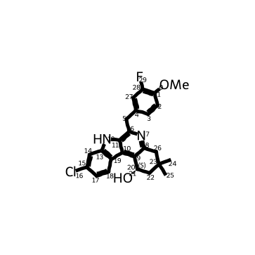 COc1ccc(Cc2nc3c(c4c2[nH]c2cc(Cl)ccc24)[C@@H](O)CC(C)(C)C3)cc1F